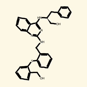 OCc1ccccc1Sc1ccccc1CNc1nc(N[C@H](CO)Cc2ccccc2)c2ccccc2n1